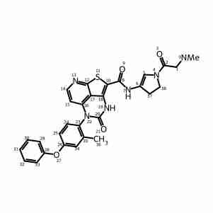 CNCC(=O)N1C=C(NC(=O)c2sc3nccc4c3c2NC(=O)N4c2ccc(Oc3ccccc3)cc2C)CC1